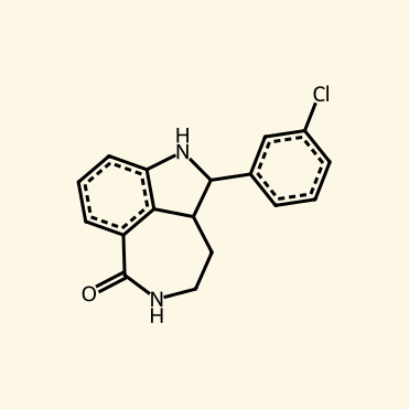 O=C1NCCC2c3c(cccc31)NC2c1cccc(Cl)c1